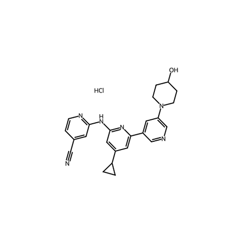 Cl.N#Cc1ccnc(Nc2cc(C3CC3)cc(-c3cncc(N4CCC(O)CC4)c3)n2)c1